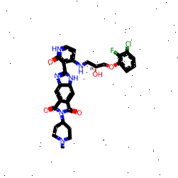 CN1CCC(N2C(=O)C3=CC4N=C(c5c(NC[C@@H](O)COc6cccc(Cl)c6F)cc[nH]c5=O)NC4C=C3C2=O)CC1